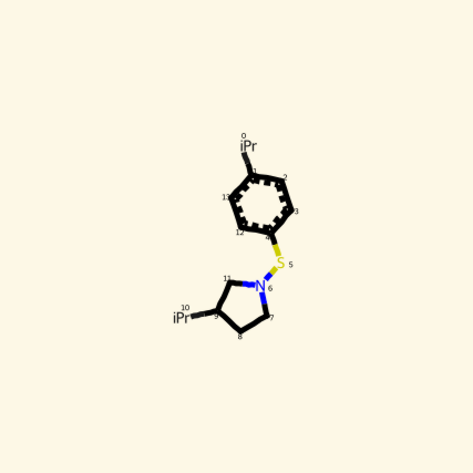 CC(C)c1ccc(SN2CCC(C(C)C)C2)cc1